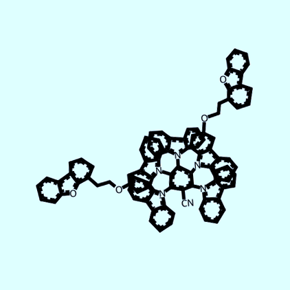 N#Cc1c(-n2c3ccccc3c3ccccc32)c(-n2c3ccccc3c3cc(OCCc4cccc5c4oc4ccccc45)ccc32)c(-n2c3ccccc3c3ccccc32)c(-n2c3ccccc3c3cc(OCCc4cccc5c4oc4ccccc45)ccc32)c1-n1c2ccccc2c2ccccc21